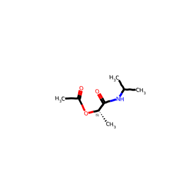 CC(=O)O[C@@H](C)C(=O)NC(C)C